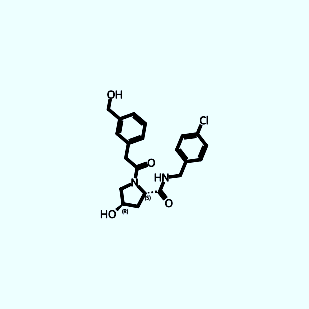 O=C(NCc1ccc(Cl)cc1)[C@@H]1C[C@@H](O)CN1C(=O)Cc1cccc(CO)c1